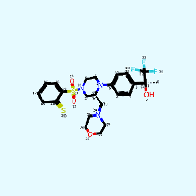 C[C@](O)(c1ccc(N2CCN(S(=O)(=O)C3=CC=CCC3=S)C[C@@H]2CN2CCOCC2)cc1)C(F)(F)F